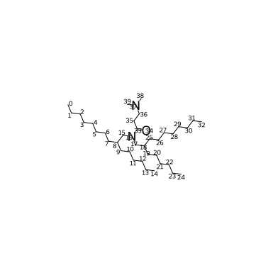 CCCCCCCCC(CCCCCC)CN(CC(CCCCCC)CCCCCCCC)C(=O)CCN(C)C